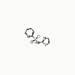 O=S(=O)(Nc1nccs1)c1ccccn1